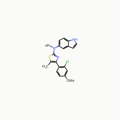 CCCN(c1ccc2[nH]ccc2c1)c1nc(-c2ccc(OC)cc2Cl)c(C)s1